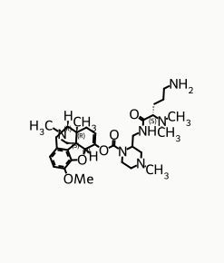 COc1ccc2c3c1O[C@H]1C(OC(=O)N4CCN(C)CC4CNC(=O)[C@H](CCCN)N(C)C)=CC[C@@]4(C)[C@@H](C2)N(C)CC[C@]314